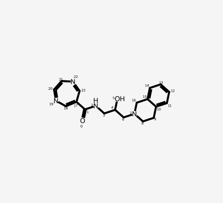 O=C(NCC(O)CN1CCc2ccccc2C1)C1=CN=C=CN=C1